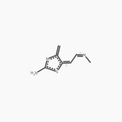 C=c1nc(N)s/c1=C/C=N\C